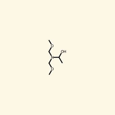 COCN(COC)C(C)O